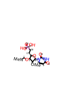 CNCOC1C(OC)[C@H](n2ccc(=O)[nH]c2=O)O[C@@H]1CCP(=O)(O)O